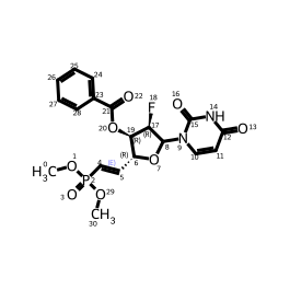 COP(=O)(/C=C/[C@H]1OC(n2ccc(=O)[nH]c2=O)[C@H](F)[C@@H]1OC(=O)c1ccccc1)OC